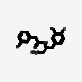 O=C(O)C[C@H](Cc1ccc(Cl)c(Cl)c1)NC(=O)Cc1cccc(Cl)c1